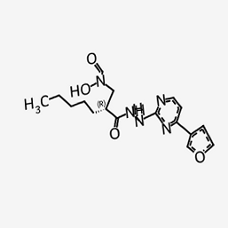 CCCCC[C@H](CN(O)C=O)C(=O)NNc1nccc(-c2ccoc2)n1